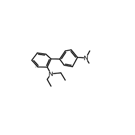 CCN(CC)c1[c]cccc1-c1ccc(N(C)C)cc1